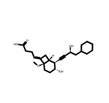 CO[C@]12CC[C@@H](O)[C@H](C#C[C@@H](O)CC3CCCCC3)[C@H]1CC2=CCCC(=O)O